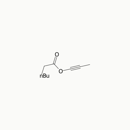 CC#COC(=O)CCCCC